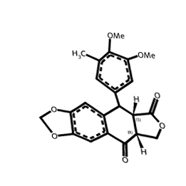 COc1cc(C2c3cc4c(cc3C(=O)[C@H]3COC(=O)[C@@H]23)OCO4)cc(C)c1OC